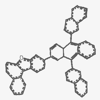 C1=CC2C(c3ccc4ccccc4c3)=c3ccccc3=C(c3ccc4ccccc4c3)C2C=C1c1ccc2c(c1)oc1ccc3ccccc3c12